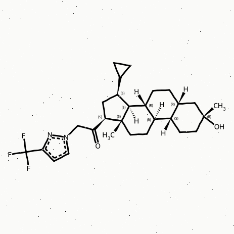 C[C@@]1(O)CC[C@H]2[C@H](CC[C@@H]3[C@@H]2CC[C@@]2(C)[C@H]3[C@H](C3CC3)C[C@@H]2C(=O)Cn2ccc(C(F)(F)F)n2)C1